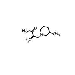 C=C(CN1CCCC(C)C1)C(C)=O